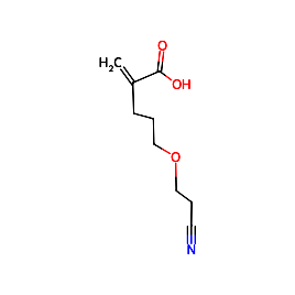 C=C(CCCOCCC#N)C(=O)O